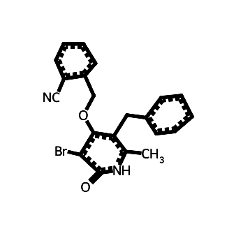 Cc1[nH]c(=O)c(Br)c(OCc2ccccc2C#N)c1Cc1ccccc1